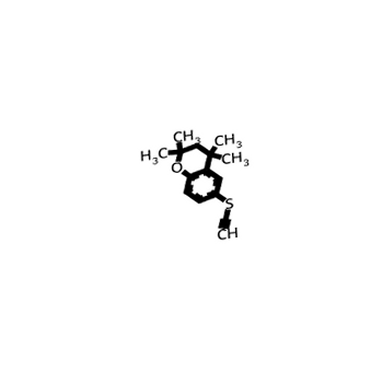 C#CSc1ccc2c(c1)C(C)(C)CC(C)(C)O2